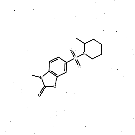 CC1C[CH]CCN1S(=O)(=O)c1ccc2c(c1)oc(=O)n2C